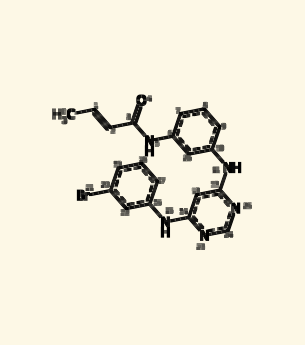 CC=CC(=O)Nc1cccc(Nc2cc(Nc3cccc(Br)c3)ncn2)c1